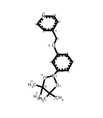 CC1(C)OB(c2cccc(OCc3ccncc3)c2)OC1(C)C